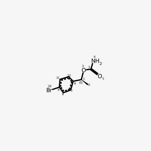 C[C@H](OC(N)=O)c1ccc(Br)cc1